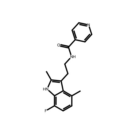 Cc1[nH]c2c(F)ccc(C)c2c1CCNC(=O)c1ccncc1